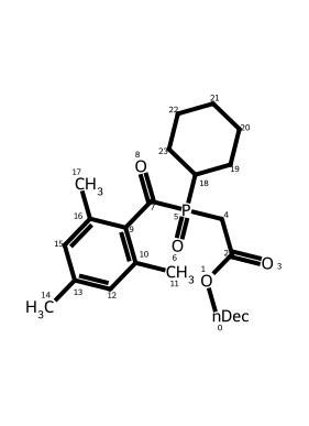 CCCCCCCCCCOC(=O)CP(=O)(C(=O)c1c(C)cc(C)cc1C)C1CCCCC1